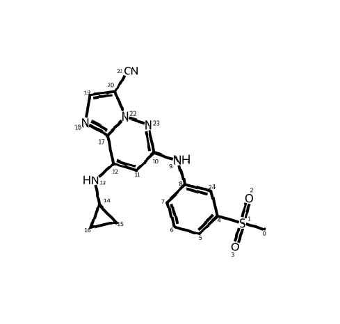 CS(=O)(=O)c1cccc(Nc2cc(NC3CC3)c3ncc(C#N)n3n2)c1